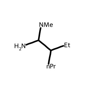 CCCC(CC)C(N)NC